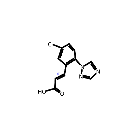 O=C(O)/C=C/c1cc(Cl)ccc1-n1cncn1